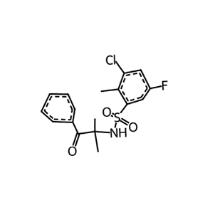 Cc1c(Cl)cc(F)cc1S(=O)(=O)NC(C)(C)C(=O)c1ccccc1